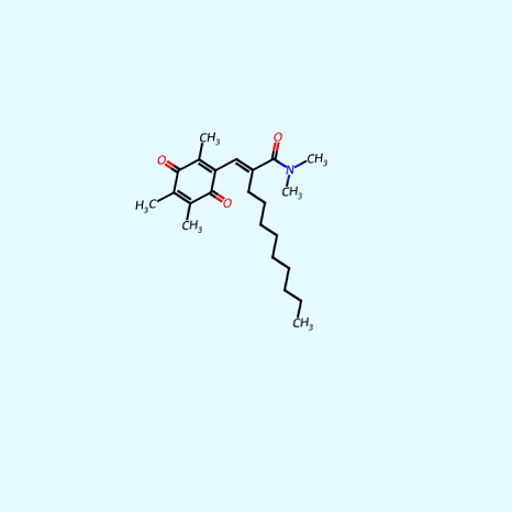 CCCCCCCCCC(=CC1=C(C)C(=O)C(C)=C(C)C1=O)C(=O)N(C)C